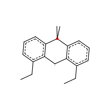 CCc1cccc(CC)c1[CH]c1c(CC)cccc1CC